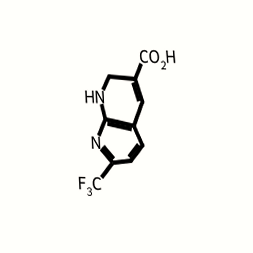 O=C(O)C1=Cc2ccc(C(F)(F)F)nc2NC1